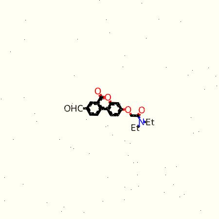 CCN(CC)C(=O)COc1ccc2c(c1)oc(=O)c1cc(C=O)ccc12